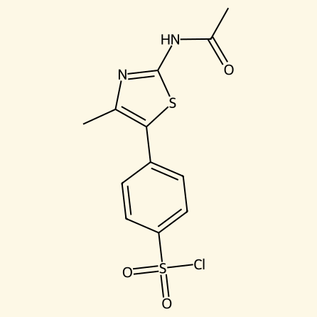 CC(=O)Nc1nc(C)c(-c2ccc(S(=O)(=O)Cl)cc2)s1